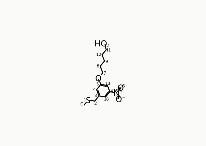 CSCc1cc(OCCCCCO)cc([N+](=O)[O-])c1